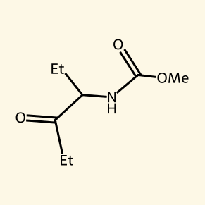 CCC(=O)C(CC)NC(=O)OC